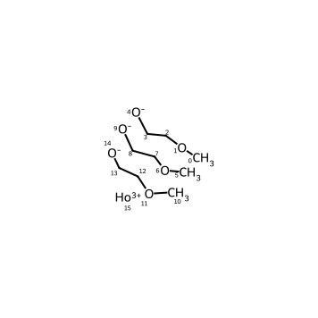 COCC[O-].COCC[O-].COCC[O-].[Ho+3]